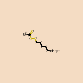 CCCCCCCCCCCCSSC(=S)CC